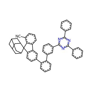 N#Cc1cccc2c1C1(c3ccc(-c4ccccc4-c4cccc(-c5nc(-c6ccccc6)nc(-c6ccccc6)n5)c4)cc3-2)C2CC3CC(C2)CC1C3